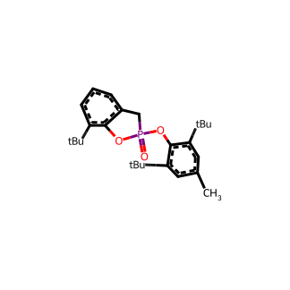 Cc1cc(C(C)(C)C)c(OP2(=O)Cc3cccc(C(C)(C)C)c3O2)c(C(C)(C)C)c1